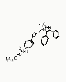 CCOC(=O)Nc1ccc(OCCn2c(C)nc(-c3ccccc3)c2-c2ccccc2)cc1